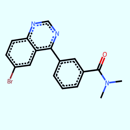 CN(C)C(=O)c1cccc(-c2ncnc3ccc(Br)cc23)c1